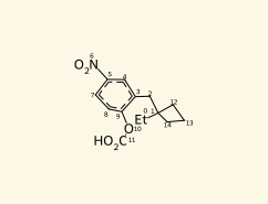 CCC1(Cc2cc([N+](=O)[O-])ccc2OC(=O)O)CCC1